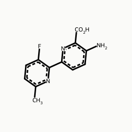 Cc1ccc(F)c(-c2ccc(N)c(C(=O)O)n2)n1